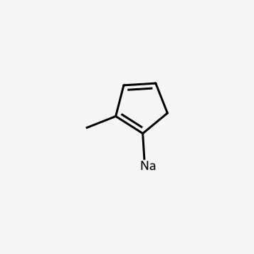 CC1=[C]([Na])CC=C1